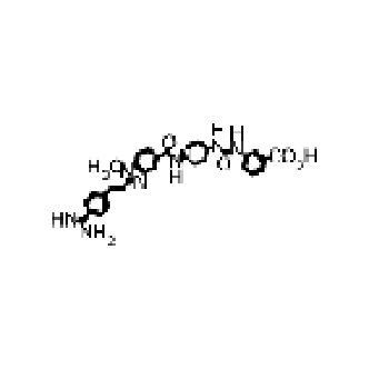 Cn1c(CCc2ccc(C(=N)N)cc2)nc2cc(C(=O)NN3CCC(NC(=O)Nc4cccc(C(=O)O)c4)CC3)ccc21